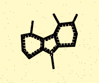 Cc1ccc2c(c1C)c1c(C)cccc1n2C